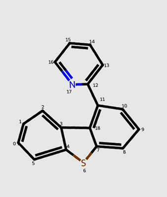 [c]1ccc2c(c1)sc1cccc(-c3ccccn3)c12